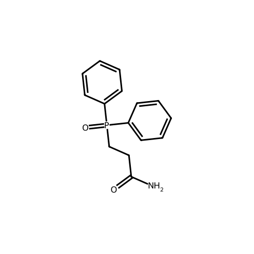 NC(=O)CCP(=O)(c1ccccc1)c1ccccc1